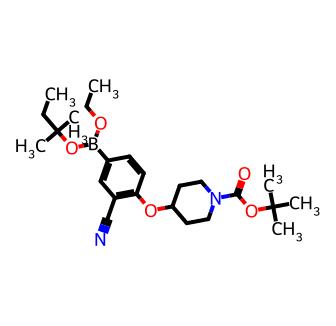 CCOB(OC(C)(C)CC)c1ccc(OC2CCN(C(=O)OC(C)(C)C)CC2)c(C#N)c1